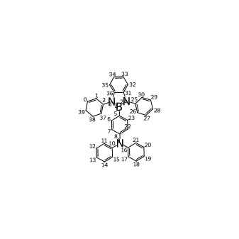 C1=CC(N2B(c3ccc(N(c4ccccc4)c4ccccc4)cc3)N(c3ccccc3)c3ccccc32)=CCC1